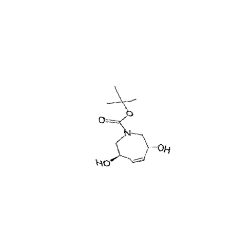 CC(C)(C)OC(=O)N1C[C@H](O)C=C[C@@H](O)C1